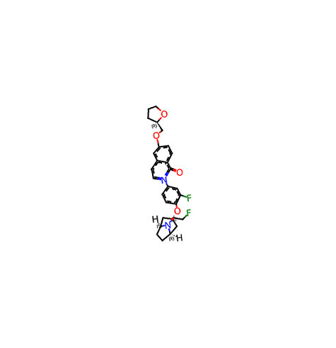 O=c1c2ccc(OC[C@H]3CCCO3)cc2ccn1-c1ccc(O[C@@H]2C[C@H]3CC[C@@H](C2)N3CCF)c(F)c1